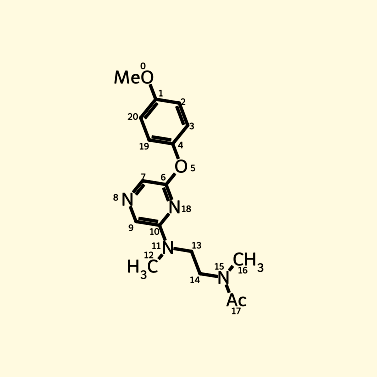 COc1ccc(Oc2cncc(N(C)CCN(C)C(C)=O)n2)cc1